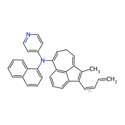 C=C/C=C\C1=C(C)C2=CCC=C(N(c3ccncc3)c3cccc4ccccc34)c3cccc1c32